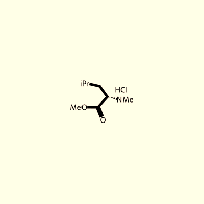 CN[C@@H](CC(C)C)C(=O)OC.Cl